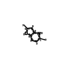 Cc1ccc2oc(C)cc2n1